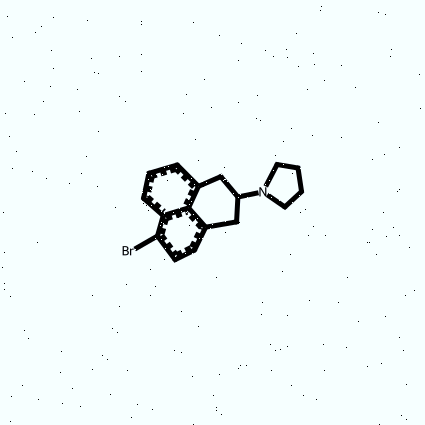 Brc1ccc2c3c(cccc13)CC(N1CCCC1)C2